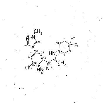 C=C(NC1CCC(F)(F)CC1)c1n[nH]c2c(Cl)cc(-c3cnn(C)c3)cc12